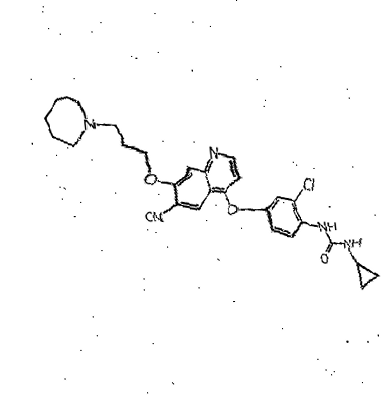 [C-]#[N+]c1cc2c(Oc3ccc(NC(=O)NC4CC4)c(Cl)c3)ccnc2cc1OCCCN1CCCCC1